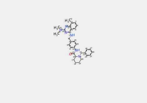 Cc1cccc2c(NCc3ccc(NC(=O)C4CCCCN4Cc4ccccc4)cc3)nc(N(C)C)nc12